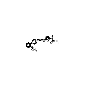 COc1ccccc1N1CCN(CCCSc2ccc(NC(C)=O)s2)CC1